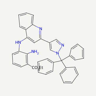 CCOC(=O)c1cccc(Nc2cc(-c3cnn(C(c4ccccc4)(c4ccccc4)c4ccccc4)c3)nc3ccccc23)c1N